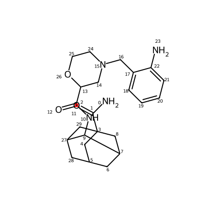 NC(=O)C12CC3CC(C1)C(NC(=O)C1CN(Cc4ccccc4N)CCO1)C(C3)C2